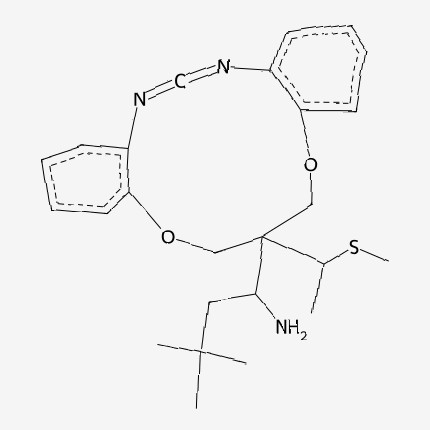 CSC(C)C1(C(N)CC(C)(C)C)COc2ccccc2N=C=Nc2ccccc2OC1